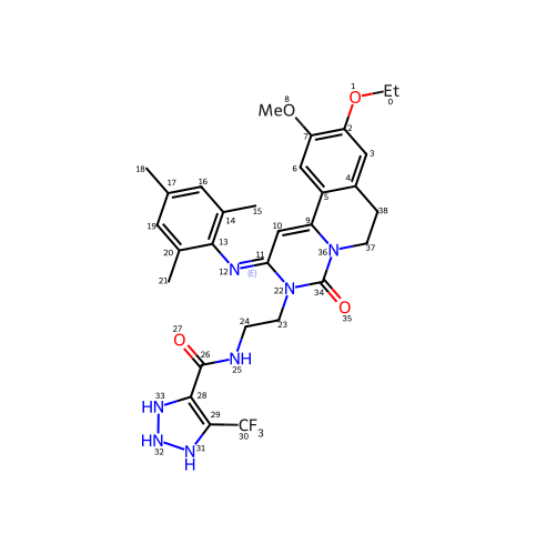 CCOc1cc2c(cc1OC)-c1c/c(=N\c3c(C)cc(C)cc3C)n(CCNC(=O)C3=C(C(F)(F)F)NNN3)c(=O)n1CC2